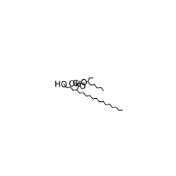 CCCCCCCCCCCCCCC(CC(O)CO)C(=O)OOC(CC)CCCCC